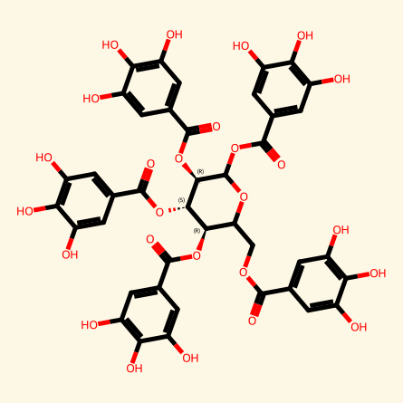 O=C(OCC1OC(OC(=O)c2cc(O)c(O)c(O)c2)[C@H](OC(=O)c2cc(O)c(O)c(O)c2)[C@@H](OC(=O)c2cc(O)c(O)c(O)c2)[C@@H]1OC(=O)c1cc(O)c(O)c(O)c1)c1cc(O)c(O)c(O)c1